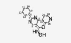 O=C(NO)c1cnc(-c2ccccc2)nc1-c1ccncc1